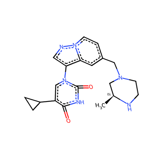 C[C@H]1CN(Cc2ccn3ncc(-n4cc(C5CC5)c(=O)[nH]c4=O)c3c2)CCN1